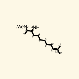 CNC(C)C(=N)CCCCCCC=C(C)C